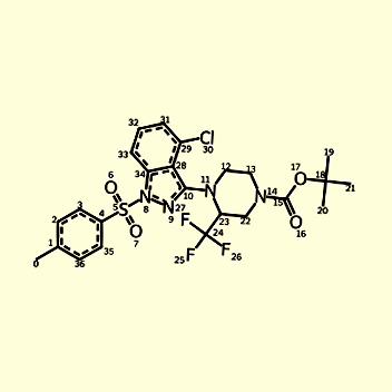 Cc1ccc(S(=O)(=O)n2nc(N3CCN(C(=O)OC(C)(C)C)CC3C(F)(F)F)c3c(Cl)cccc32)cc1